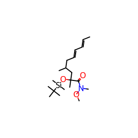 CC=CC=CCC(C)CC(C)(O[Si](C)(C)C(C)(C)C)C(=O)N(C)OC